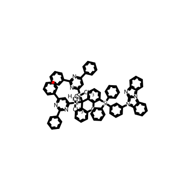 C[Si](C)(c1cc(-c2ccccc2)nc(-c2ccccc2)n1)C1([Si](C)(C)c2cc(-c3ccccc3)nc(-c3ccccc3)n2)c2ccccc2Oc2c1cccc2[Si](c1ccccc1)(c1ccccc1)c1cccc(-n2c3ccccc3n3c4ccccc4nc23)c1